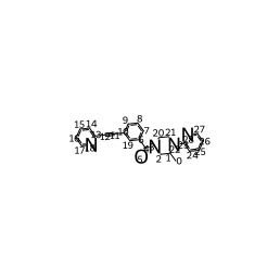 CC1CN(C(=O)c2cccc(C#Cc3ccccn3)c2)CCN1c1ccccn1